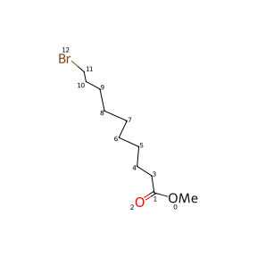 COC(=O)CCCCCCCCCBr